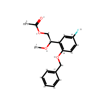 CCCC(=O)OC[C@H](OC(C)C)c1cc(F)ccc1OCc1ccccc1